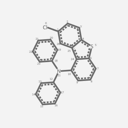 Clc1ccc2sc3cccc(N(c4ccccc4)c4ccccc4)c3c2c1